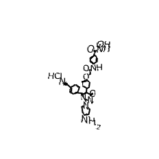 Cl.Cn1c(N2CCC(N)CC2)nc(-c2ccc(C#N)cc2)c(-c2ccc(OCC(=O)Nc3ccc(C(=O)NO)cc3)cc2)c1=O